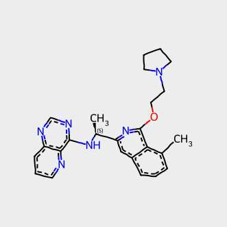 Cc1cccc2cc([C@H](C)Nc3ncnc4cccnc34)nc(OCCN3CCCC3)c12